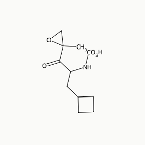 CC1(C(=O)C(CC2CCC2)NC(=O)O)CO1